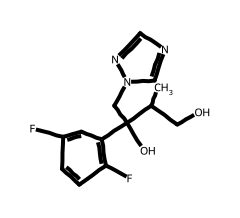 CC(CO)C(O)(Cn1cncn1)c1cc(F)ccc1F